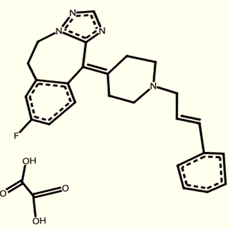 Fc1ccc2c(c1)CCn1ncnc1C2=C1CCN(CC=Cc2ccccc2)CC1.O=C(O)C(=O)O